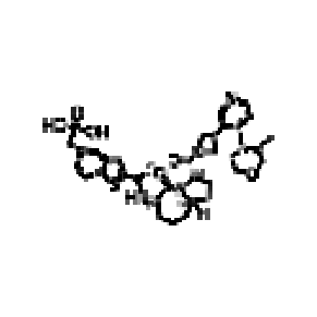 C[C@H]1COCCN1c1ccncc1C1CN(C(=O)[C@@H]2CC[C@@H]3CCC[C@H](NC(=O)c4cc5cc(CP(=O)(O)O)ccc5s4)C(=O)N32)C1